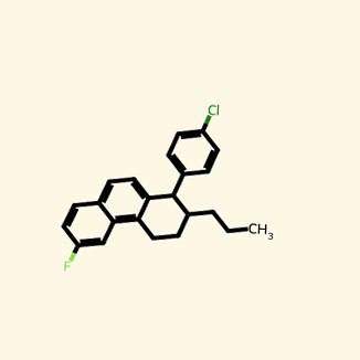 CCCC1CCc2c(ccc3ccc(F)cc23)C1c1ccc(Cl)cc1